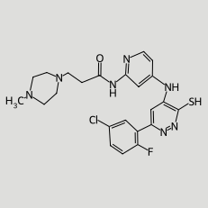 CN1CCN(CCC(=O)Nc2cc(Nc3cc(-c4cc(Cl)ccc4F)nnc3S)ccn2)CC1